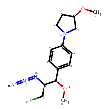 CO[C@@H]1CCN(c2ccc([C@@H](OC)[C@@H](CF)N=[N+]=[N-])cc2)C1